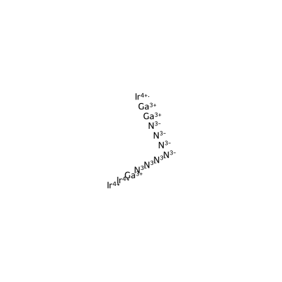 [Ga+3].[Ga+3].[Ga+3].[Ir+4].[Ir+4].[Ir+4].[N-3].[N-3].[N-3].[N-3].[N-3].[N-3].[N-3]